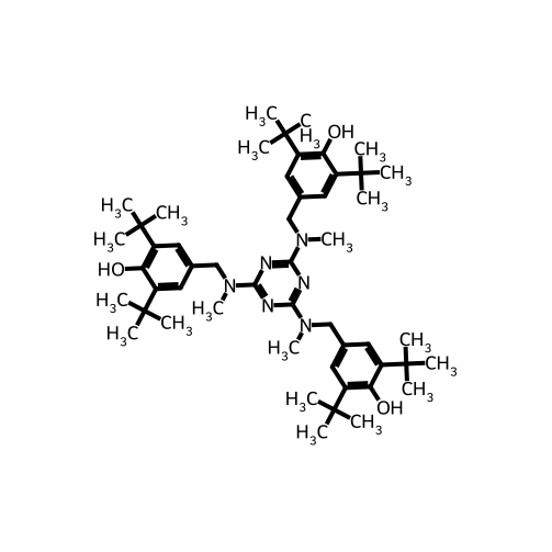 CN(Cc1cc(C(C)(C)C)c(O)c(C(C)(C)C)c1)c1nc(N(C)Cc2cc(C(C)(C)C)c(O)c(C(C)(C)C)c2)nc(N(C)Cc2cc(C(C)(C)C)c(O)c(C(C)(C)C)c2)n1